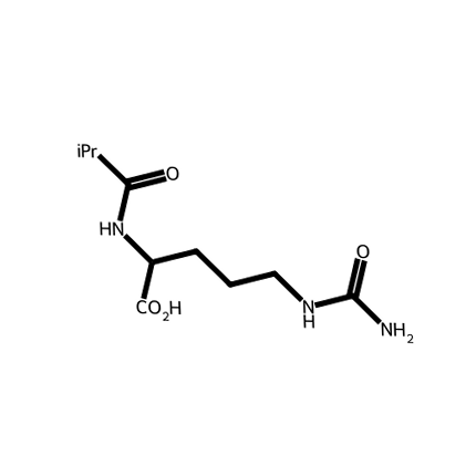 CC(C)C(=O)NC(CCCNC(N)=O)C(=O)O